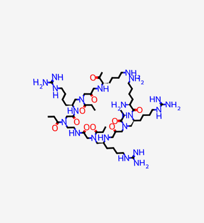 CCC(=O)N(CCNC(=O)CN(C[C@H](CCCCNC(=N)N)NCC(=O)CN(C[C@H](CCCCNC(=N)N)NC(=O)[C@@H](N)CCCCN)C(=O)CC)C(=O)CC)CC(=O)N[C@@H](CCCCNC(=N)N)CN(CC(=O)CN[C@@H](CCCCN)C(C)=O)C(=O)CC